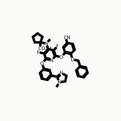 CCOC(=O)C1(N(C)c2c(F)c(Oc3cccc(C4=NCCN4C)c3)nc(Oc3cc(C#N)ccc3OCc3ccccc3)c2F)CCCC1